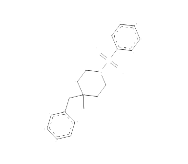 CC1(Cc2ccccc2)CCN(S(=O)(=O)c2ccccc2)CC1